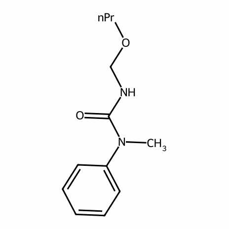 CCCOCNC(=O)N(C)c1ccccc1